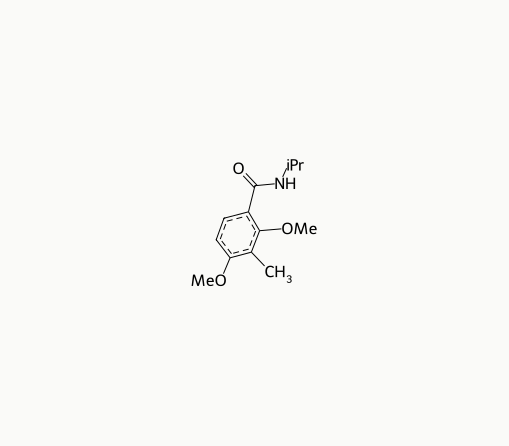 COc1ccc(C(=O)NC(C)C)c(OC)c1C